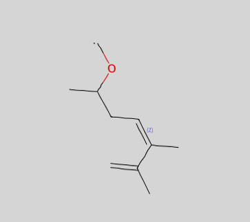 [CH2]OC(C)C/C=C(/C)C(=C)C